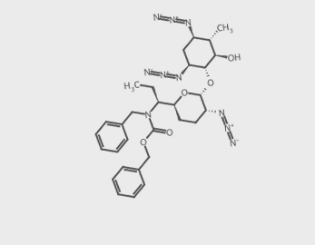 CC[C@@H]([C@@H]1CC[C@@H](N=[N+]=[N-])[C@@H](O[C@H]2[C@H](O)[C@@H](C)[C@H](N=[N+]=[N-])C[C@@H]2N=[N+]=[N-])O1)N(Cc1ccccc1)C(=O)OCc1ccccc1